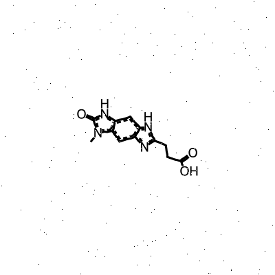 Cn1c(=O)[nH]c2cc3[nH]c(CCC(=O)O)nc3cc21